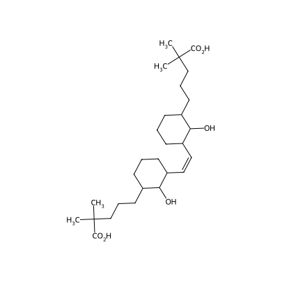 CC(C)(CCCC1CCCC(/C=C\C2CCCC(CCCC(C)(C)C(=O)O)C2O)C1O)C(=O)O